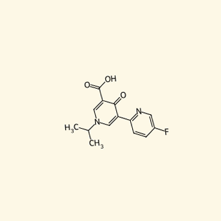 CC(C)n1cc(C(=O)O)c(=O)c(-c2ccc(F)cn2)c1